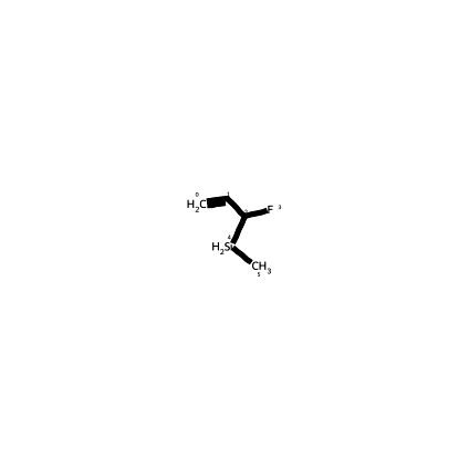 C=CC(F)[SiH2]C